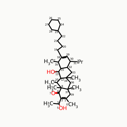 CC1=C(C(C)O)C(=O)C2(C)C(C)C3C(O)C4C(C)C(CCCCC5CCCCC5)=CC(C(C)C)C4CC3(C)CC2(C)C1